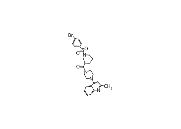 Cc1cc(N2CCN(C(=O)C3CCCN(S(=O)(=O)c4ccc(Br)cc4)C3)CC2)c2ccccc2n1